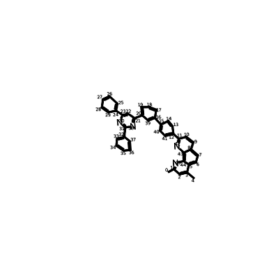 Cc1cc(C)c2ccc3ccc(-c4ccc(-c5cccc(-c6cc(-c7ccccc7)nc(-c7ccccc7)n6)c5)cc4)nc3c2n1